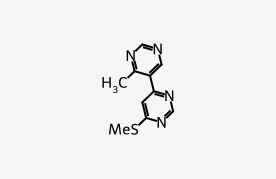 CSc1cc(-c2cncnc2C)ncn1